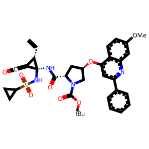 C=C[C@H]1C(=C=O)[C@]1(NC(=O)[C@@H]1C[C@@H](Oc2cc(-c3ccccc3)nc3cc(OC)ccc23)CN1C(=O)OC(C)(C)C)NS(=O)(=O)C1CC1